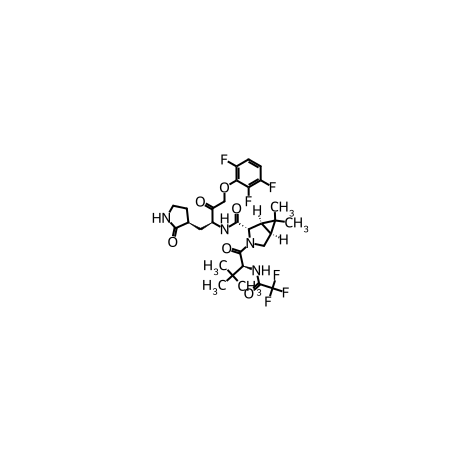 CC(C)(C)[C@H](NC(=O)C(F)(F)F)C(=O)N1C[C@H]2[C@@H]([C@H]1C(=O)N[C@@H](C[C@@H]1CCNC1=O)C(=O)COc1c(F)ccc(F)c1F)C2(C)C